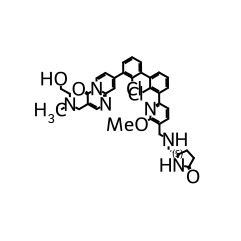 COc1nc(-c2cccc(-c3cccc(-c4ccn5c(=O)c(CN(C)CCO)cnc5c4)c3Cl)c2Cl)ccc1CNC[C@@H]1CCC(=O)N1